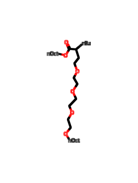 CCCCCCCCOCCOCCOCCOCCC(CCCC)C(=O)OCCCCCCCC